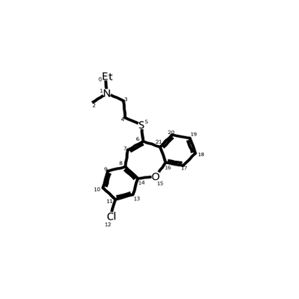 CCN(C)CCSC1=Cc2ccc(Cl)cc2Oc2ccccc21